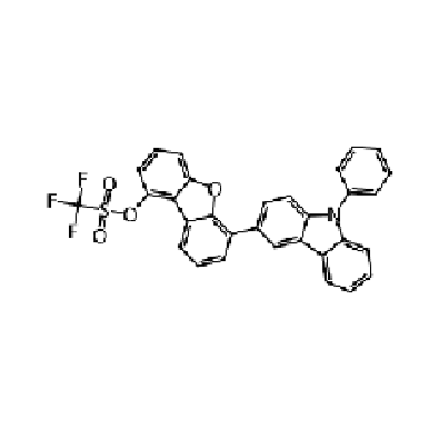 O=S(=O)(Oc1cccc2oc3c(-c4ccc5c(c4)c4ccccc4n5-c4ccccc4)cccc3c12)C(F)(F)F